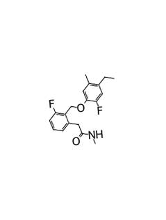 CCc1cc(F)c(OCc2c(F)cccc2CC(=O)NC)cc1C